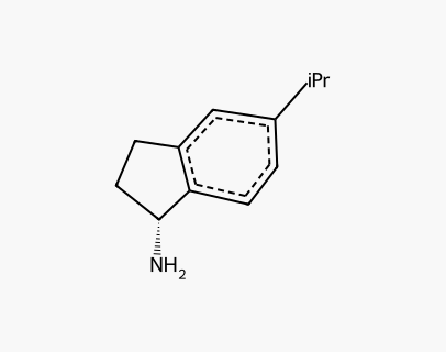 CC(C)c1ccc2c(c1)CC[C@H]2N